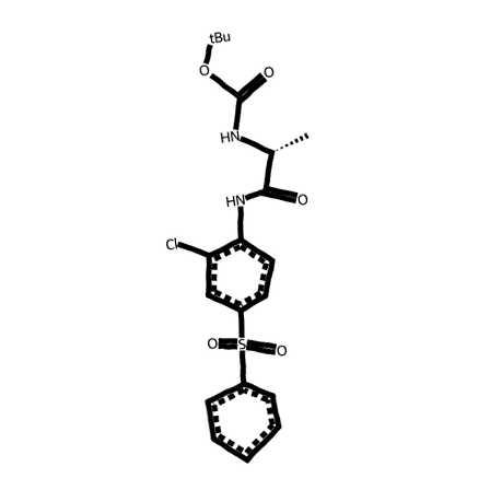 C[C@@H](NC(=O)OC(C)(C)C)C(=O)Nc1ccc(S(=O)(=O)c2ccccc2)cc1Cl